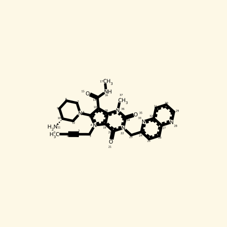 CC#CCn1c(N2CCC[C@@H](N)C2)c(C(=O)NC)c2c1c(=O)n(Cc1ccc3ncccc3n1)c(=O)n2C